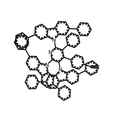 N#Cc1ccc(-c2c(-c3ccccc3)c(-n3c4cc(-c5ccccc5)ccc4c4ccc(-c5ccccc5)cc43)nc(-n3c4cc(-c5ccccc5)ccc4c4ccc(-c5ccccc5)cc43)c2-n2c3cc(-c4ccccc4)ccc3c3ccc(-c4ccccc4)cc32)cc1